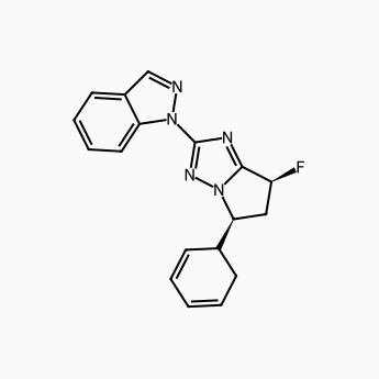 F[C@H]1C[C@@H](C2C=CC=CC2)n2nc(-n3ncc4ccccc43)nc21